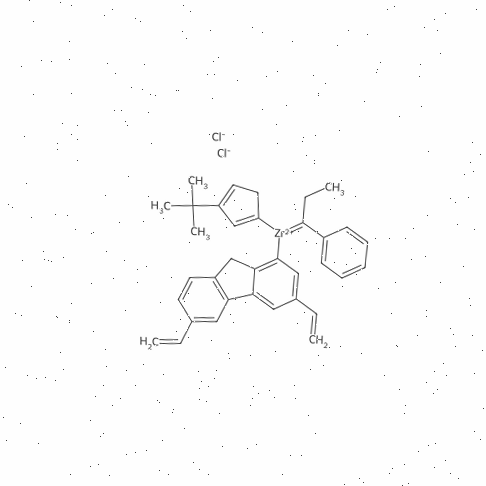 C=Cc1ccc2c(c1)-c1cc(C=C)c[c](/[Zr+2]([C]3=CC(C(C)(C)C)=CC3)=[C](/CC)c3ccccc3)c1C2.[Cl-].[Cl-]